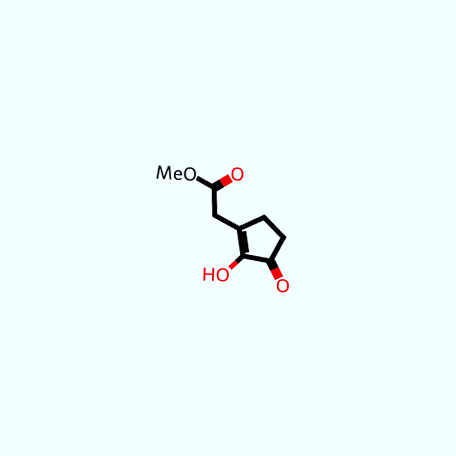 COC(=O)CC1=C(O)C(=O)CC1